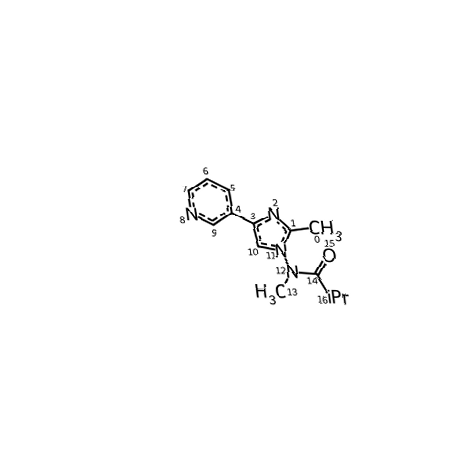 Cc1nc(-c2cccnc2)cn1N(C)C(=O)C(C)C